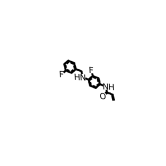 C=CC(=O)Nc1ccc(NCc2cccc(F)c2)c(F)c1